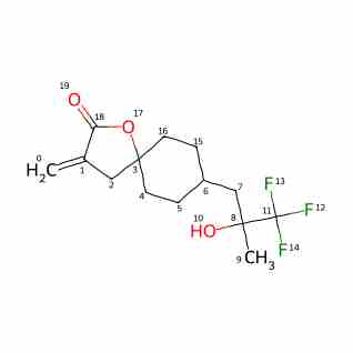 C=C1CC2(CCC(CC(C)(O)C(F)(F)F)CC2)OC1=O